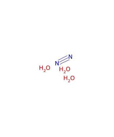 N#N.O.O.O